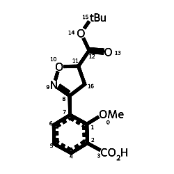 COc1c(C(=O)O)cccc1C1=NOC(C(=O)OC(C)(C)C)C1